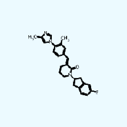 Cc1cn(-c2ccc(/C=C3\CCCN([C@@H]4Cc5ccc(F)cc5C4)C3=O)cc2C)cn1